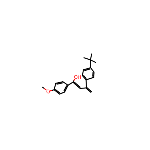 C=C(/C=C(\O)c1ccc(OC)cc1)c1ccc(C(C)(C)C)cc1